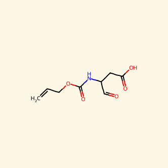 C=CCOC(=O)NC(C=O)CC(=O)O